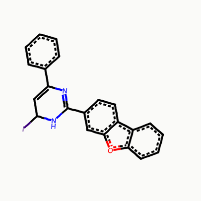 IC1C=C(c2ccccc2)N=C(c2ccc3c(c2)oc2ccccc23)N1